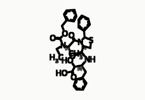 CCN(C(=O)OCc1ccccc1)[C@@H](C)C(=O)N1C(c2ccccc2)SC[C@H]1C(=O)N[C@@H](Cc1ccccc1)C(O)C(=O)O